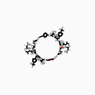 CN[C@@H](C)C(=O)N[C@H](C(=O)N1C[C@@H]2C[C@H]1C(=O)N[C@@H](Cc1ccc(C(F)(F)F)cc1)C(=O)N[C@H](C(=O)O)Cc1ccc(cc1)COc1cn(nn1)[C@H]1C[C@@H](C(=O)N[C@@H](Cc3ccc(C(F)(F)F)cc3)C(=O)N[C@H](C(=O)O)Cc3ccc(cc3)OCc3cn2nn3)N(C(=O)[C@@H](NC(=O)[C@H](C)NC)C(C)C)C1)C(C)C